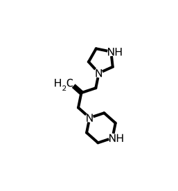 C=C(CN1CCNCC1)CN1CCNC1